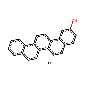 C.Oc1ccc2ccc3c(ccc4c5ccccc5ccc43)c2c1